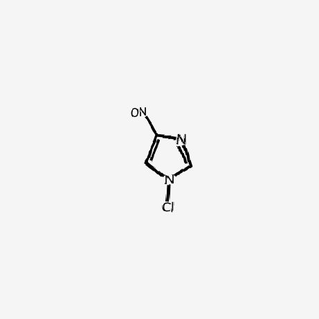 O=Nc1cn(Cl)cn1